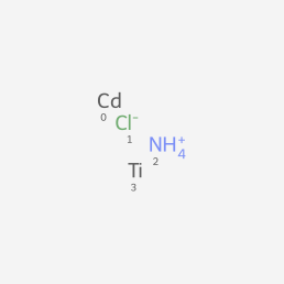 [Cd].[Cl-].[NH4+].[Ti]